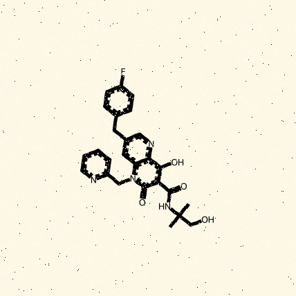 CC(C)(CO)NC(=O)c1c(O)c2ncc(Cc3ccc(F)cc3)cc2n(Cc2ccccn2)c1=O